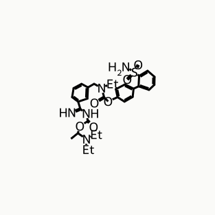 CCN(Cc1cccc(C(=N)NC(=O)OC(C)N(CC)CC)c1)C(=O)Oc1ccc(-c2ccccc2S(N)(=O)=O)cc1